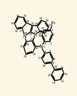 Fc1ccc(N(c2ccc(-c3ccccc3)cc2)c2cccc3c2n2c4ccccc4c4c5ccccc5n3c42)cc1